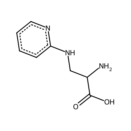 NC(CNc1ccccn1)C(=O)O